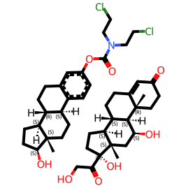 C[C@]12CCC(=O)C=C1CC[C@@H]1[C@@H]2[C@@H](O)C[C@@]2(C)[C@H]1CC[C@]2(O)C(=O)CO.C[C@]12CC[C@@H]3c4ccc(OC(=O)N(CCCl)CCCl)cc4CC[C@H]3[C@@H]1CC[C@@H]2O